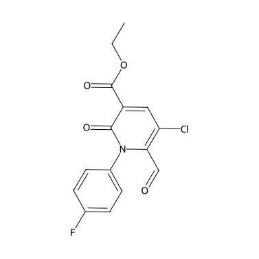 CCOC(=O)c1cc(Cl)c(C=O)n(-c2ccc(F)cc2)c1=O